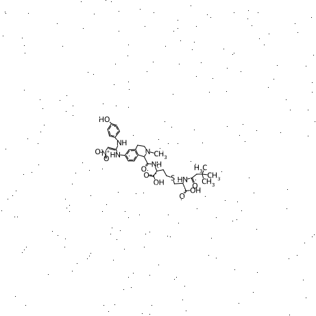 CN1CCc2cc(NC(=C[N+](=O)[O-])Nc3ccc(O)cc3)ccc2C1C(=O)NC(CCSCC(NC(=O)CC(C)(C)C)C(=O)O)C(=O)O